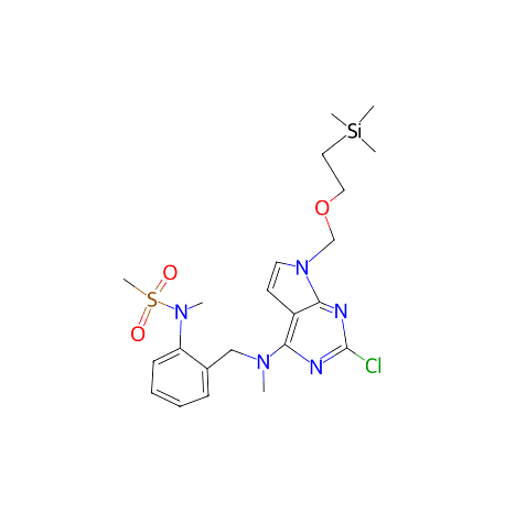 CN(Cc1ccccc1N(C)S(C)(=O)=O)c1nc(Cl)nc2c1ccn2COCC[Si](C)(C)C